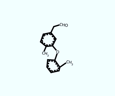 Cc1ccccc1Oc1cc(CC=O)ccc1C